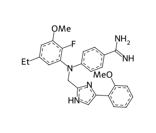 CCc1cc(OC)c(F)c(N(Cc2nc(-c3ccccc3OC)c[nH]2)c2ccc(C(=N)N)cc2)c1